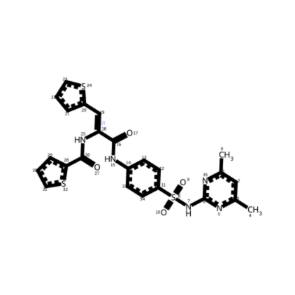 Cc1cc(C)nc(NS(=O)(=O)c2ccc(NC(=O)/C(=C/c3cccs3)NC(=O)c3cccs3)cc2)n1